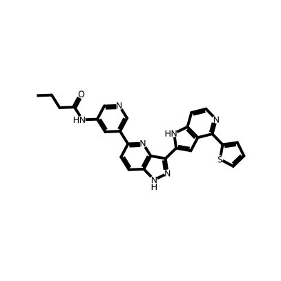 CCCC(=O)Nc1cncc(-c2ccc3[nH]nc(-c4cc5c(-c6cccs6)nccc5[nH]4)c3n2)c1